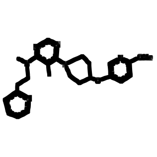 COc1ccc(OC2CCN(c3ncnc(N(C)CCc4ccccn4)c3C)CC2)cn1